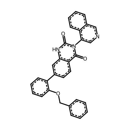 O=c1[nH]c2cc(-c3ccccc3OCc3ccccc3)ccc2c(=O)n1-c1cncc2ccccc12